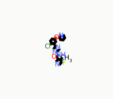 Cc1c(F)cncc1C(=O)Nc1cnc(-c2cc(Oc3ccccn3)ccc2Cl)cn1